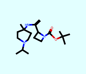 C=C(NC1(C)CCN(C(C)C)CC1)C1CCN1C(=O)OC(C)(C)C